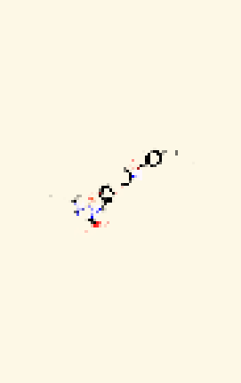 Cc1ccc(-c2nc(CCOc3cccc(CN(CC(=O)O)[S+]([O-])N(C)C(C)C)c3)c(C)o2)cc1